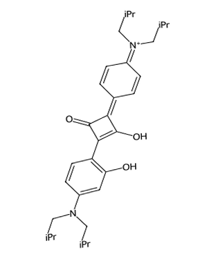 CC(C)CN(CC(C)C)c1ccc(C2=C(O)C(=C3C=CC(=[N+](CC(C)C)CC(C)C)C=C3)C2=O)c(O)c1